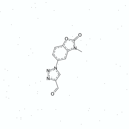 Cn1c(=O)oc2ccc(-n3cc(C=O)nn3)cc21